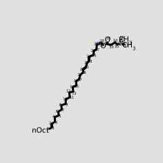 CCCCCCCCC=CCCCCCCCCCCCCCCCCCC=CCC=CCCC/C=C\OC(=O)CCCN(C)C